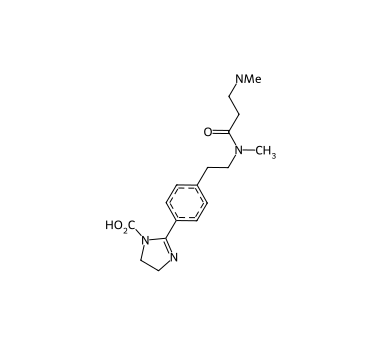 CNCCC(=O)N(C)CCc1ccc(C2=NCCN2C(=O)O)cc1